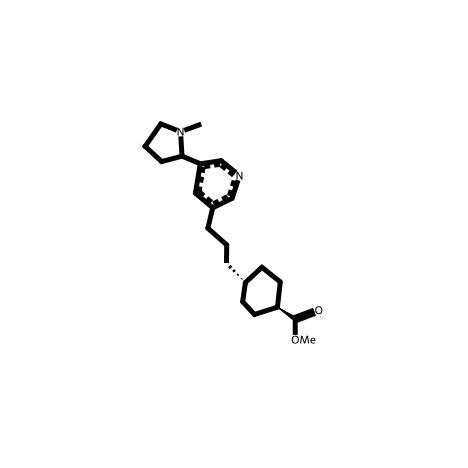 COC(=O)[C@H]1CC[C@H](CCCc2cncc(C3CCCN3C)c2)CC1